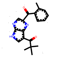 Cc1ccccc1C(=O)c1cnc2[nH]cc(C(=O)C(C)(C)C)c2n1